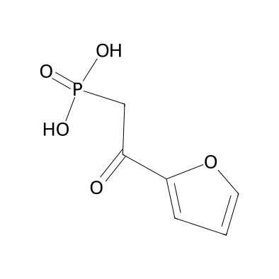 O=C(CP(=O)(O)O)c1ccco1